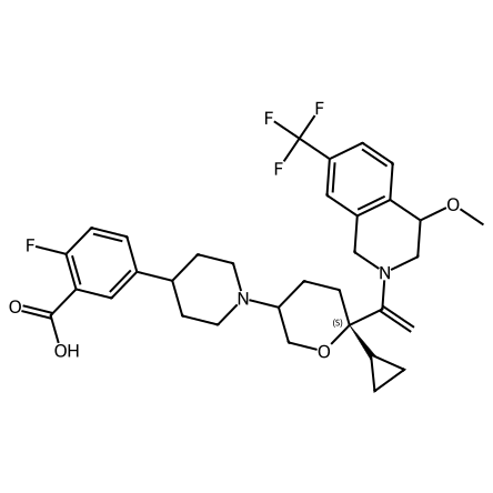 C=C(N1Cc2cc(C(F)(F)F)ccc2C(OC)C1)[C@@]1(C2CC2)CCC(N2CCC(c3ccc(F)c(C(=O)O)c3)CC2)CO1